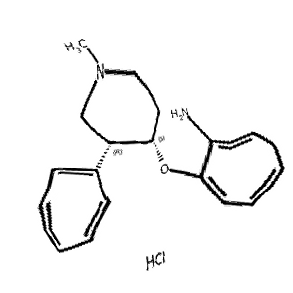 CN1CC[C@H](Oc2ccccc2N)[C@H](c2ccccc2)C1.Cl